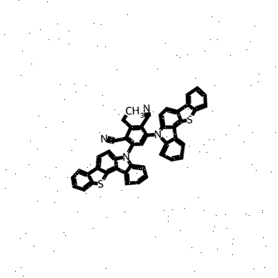 CCc1c(C#N)c(-n2c3ccccc3c3c4sc5ccccc5c4ccc32)cc(-n2c3ccccc3c3c4sc5ccccc5c4ccc32)c1C#N